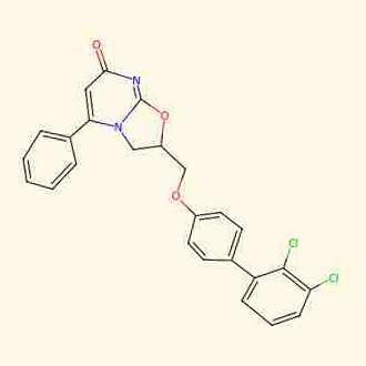 O=c1cc(-c2ccccc2)n2c(n1)OC(COc1ccc(-c3cccc(Cl)c3Cl)cc1)C2